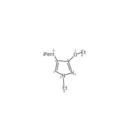 CCCC(C)c1cn(CC)nc1OCC